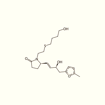 Cc1ccc(C[C@H](O)/C=C/[C@H]2CCC(=O)N2CCSCCCCO)o1